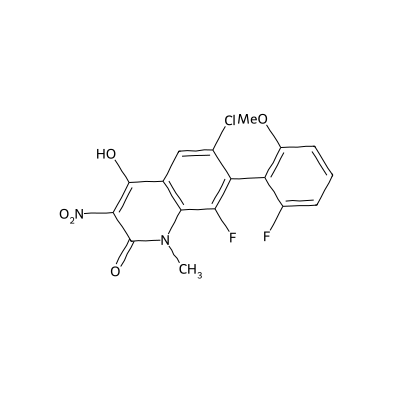 COc1cccc(F)c1-c1c(Cl)cc2c(O)c([N+](=O)[O-])c(=O)n(C)c2c1F